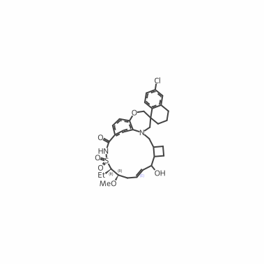 CC[C@@H]1[C@H](OC)C/C=C/C(O)C2CCC2CN2CC3(CCCc4cc(Cl)ccc43)COc3ccc(cc32)C(=O)NS1(=O)=O